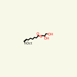 CCCCCCCC/C=C\CCCCCC(=O)OCC(O)CO